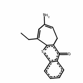 BC1=CCc2c(sc3ccccc3c2=O)C(CC)=C1